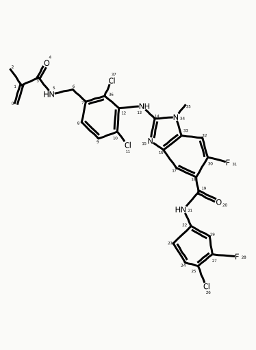 C=C(C)C(=O)NCc1ccc(Cl)c(Nc2nc3cc(C(=O)Nc4ccc(Cl)c(F)c4)c(F)cc3n2C)c1Cl